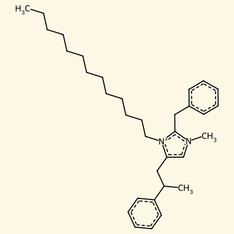 CCCCCCCCCCCCC[n+]1c(CC(C)c2ccccc2)cn(C)c1Cc1ccccc1